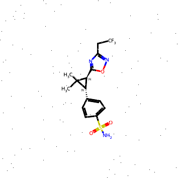 CC1(C)[C@@H](c2ccc(S(N)(=O)=O)cc2)[C@@H]1c1nc(CC(F)(F)F)no1